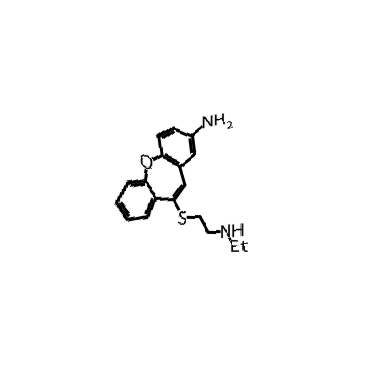 CCNCCSC1=Cc2cc(N)ccc2Oc2ccccc21